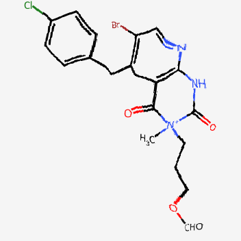 C[N+]1(CCCOC=O)C(=O)Nc2ncc(Br)c(Cc3ccc(Cl)cc3)c2C1=O